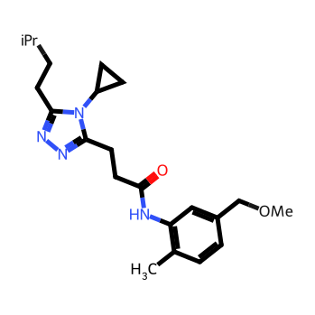 COCc1ccc(C)c(NC(=O)CCc2nnc(CCC(C)C)n2C2CC2)c1